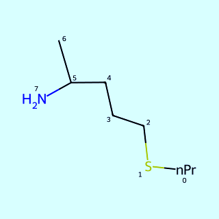 CCCSCCCC(C)N